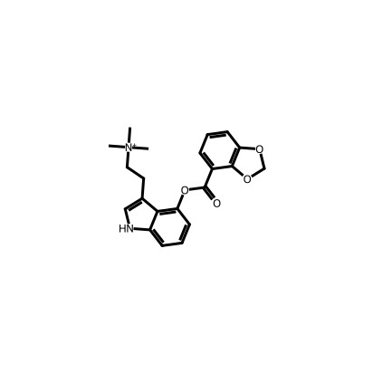 C[N+](C)(C)CCc1c[nH]c2cccc(OC(=O)c3cccc4c3OCO4)c12